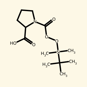 CC(C)(C)[Si](C)(C)OOC(=O)N1CCCC1C(=O)O